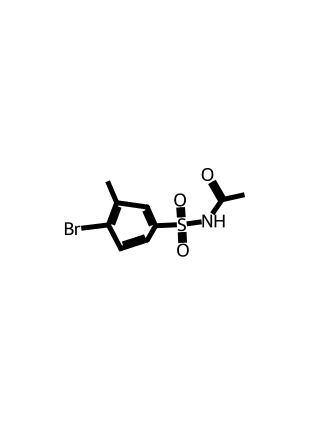 CC(=O)NS(=O)(=O)c1ccc(Br)c(C)c1